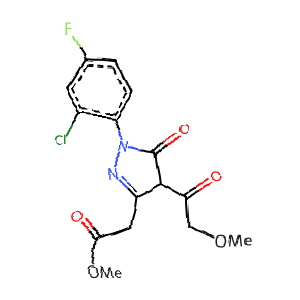 COCC(=O)C1C(=O)N(c2ccc(F)cc2Cl)N=C1CC(=O)OC